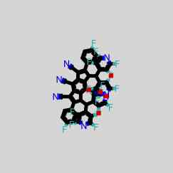 N#CC1=C(c2ccc(F)cc2)C(C(c2c(F)c(F)nc(F)c2F)c2c(F)c(F)nc(F)c2F)c2c(C#N)c3c(c(C#N)c21)C(C#N)=C(c1ccc(F)cc1)C3C(c1c(F)c(F)nc(F)c1F)c1c(F)c(F)nc(F)c1F